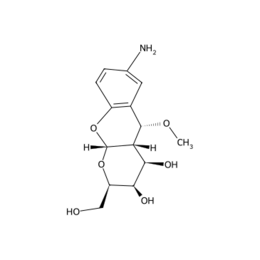 CO[C@H]1c2cc(N)ccc2O[C@H]2O[C@H](CO)[C@H](O)[C@H](O)[C@H]21